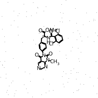 COC(=O)[C@H](Cc1ccc(-n2c(=O)c3cncnc3n(C)c2=O)cc1)NC(=O)c1c(Cl)cccc1Cl